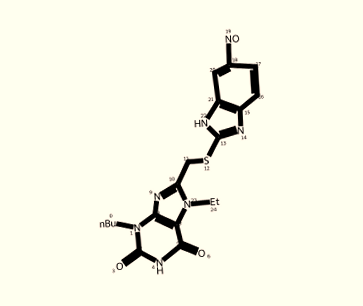 CCCCn1c(=O)[nH]c(=O)c2c1nc(CSc1nc3ccc(N=O)cc3[nH]1)n2CC